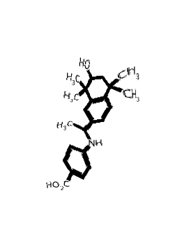 CC(Nc1ccc(C(=O)O)cc1)c1ccc2c(c1)C(C)(C)C(O)CC2(C)C